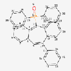 O=P(C1=C2C=CC=CC2C=C(c2ccccc2)c2ccccc21)(c1ccccc1)c1ccccc1